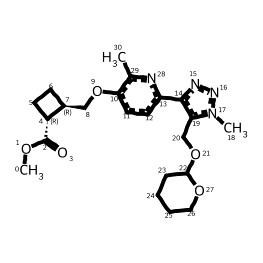 COC(=O)[C@@H]1CC[C@H]1COc1ccc(-c2nnn(C)c2COC2CCCCO2)nc1C